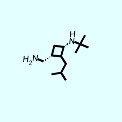 CC(C)CC1[C@H](CN)C[C@@H]1NC(C)(C)C